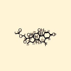 CC(=O)OCC(=O)[C@@]1(O)C(C)C[C@H]2[C@@H]3CC(F)C4=CC(=O)C=C[C@]4(C)[C@H]3C(O)C[C@@]21C